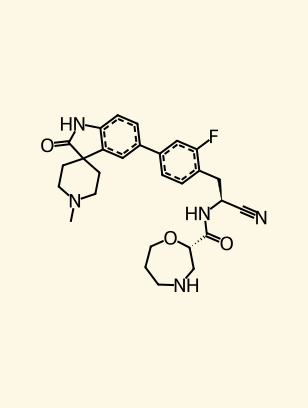 CN1CCC2(CC1)C(=O)Nc1ccc(-c3ccc(C[C@@H](C#N)NC(=O)[C@@H]4CNCCCO4)c(F)c3)cc12